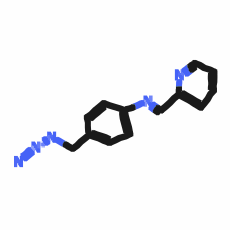 [N-]=[N+]=NCc1ccc(/N=C/c2ccccn2)cc1